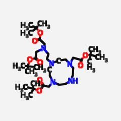 CC(C)(C)OC(=O)CN1CCNCCN(CC(=O)OC(C)(C)C)CCN(CCN(CC(=O)OC(C)(C)C)CC(=O)OC(C)(C)C)CC1